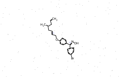 C=CCN(C)C/C=C/COc1ccc(/C(=N/O)c2ccc(Br)cc2)cc1